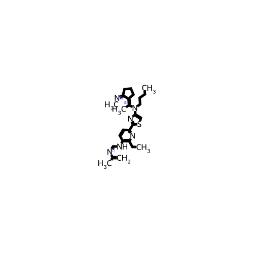 C=C(C)/N=C\Nc1ccc(-c2nc(N(CCCC)/C(C)=C3\CCC\C3=N\C)cs2)nc1CC